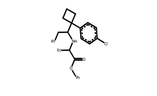 CCC(NC(CC(C)C)C1(c2ccc(Cl)cc2)CCC1)C(=O)OC(C)C